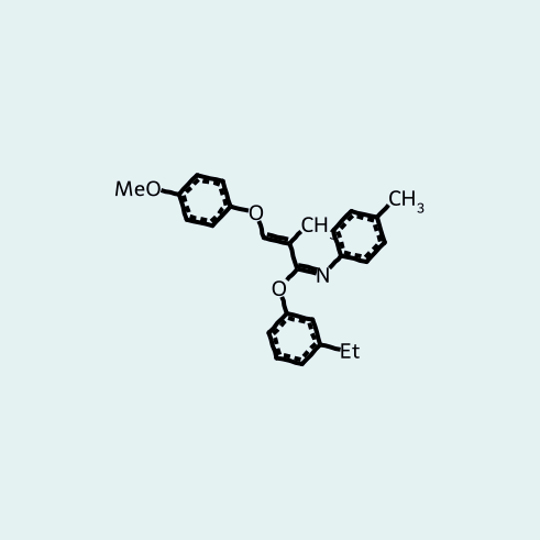 CCc1cccc(OC(=Nc2ccc(C)cc2)C(C)=COc2ccc(OC)cc2)c1